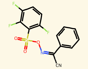 N#CC(=NOS(=O)(=O)c1c(F)ccc(F)c1F)c1ccccc1